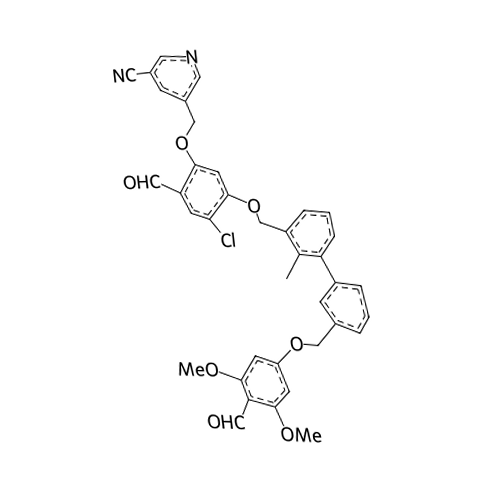 COc1cc(OCc2cccc(-c3cccc(COc4cc(OCc5cncc(C#N)c5)c(C=O)cc4Cl)c3C)c2)cc(OC)c1C=O